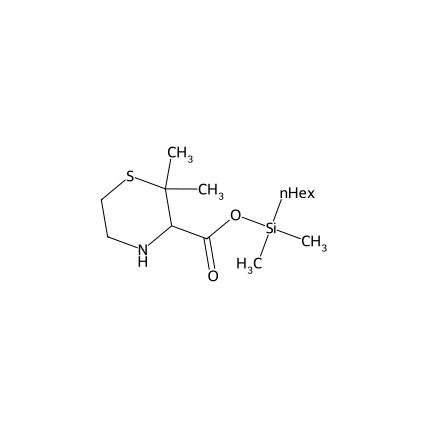 CCCCCC[Si](C)(C)OC(=O)C1NCCSC1(C)C